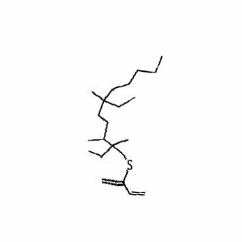 C=CC(=C)SC(C)(CC)C(C)CCC(C)(CC)CCCCC